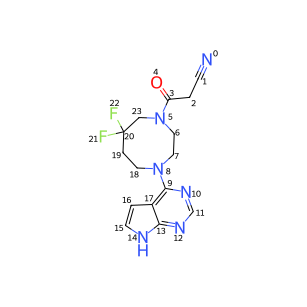 N#CCC(=O)N1CCN(c2ncnc3[nH]ccc23)CCC(F)(F)C1